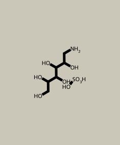 NCC(O)C(O)C(O)C(O)CO.O=S(=O)(O)O